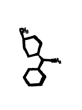 C[C@H]1CC[C@H](C(N)C2CCCCC2)CC1